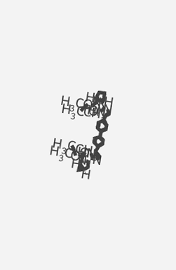 CC(C)(C)OC(=O)N1[C@@H]2CC[C@@H](C2)[C@H]1c1ncc(-c2ccc(-c3ccc(-c4cnc([C@@H]5C[C@H]6C[C@H]6N5C(=O)OC(C)(C)C)[nH]4)cc3)cc2)[nH]1